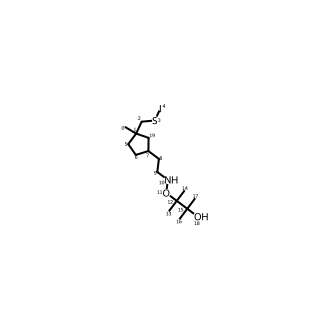 CC1(CSI)CCC(CCNOC(C)(C)C(C)(C)O)C1